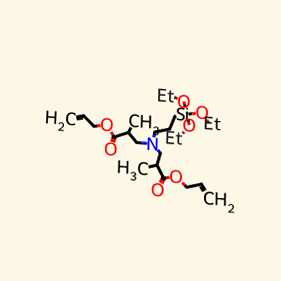 C=CCOC(=O)C(C)CN(CCC[Si](OCC)(OCC)OCC)CC(C)C(=O)OCC=C